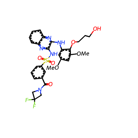 COc1cc(Nc2nc3ccccc3nc2NS(=O)(=O)c2cccc(C(=O)N3CC(F)(F)C3)c2)c(OCCCO)c(OC)c1